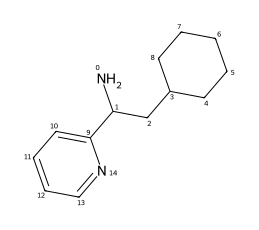 NC(CC1CCCCC1)c1ccccn1